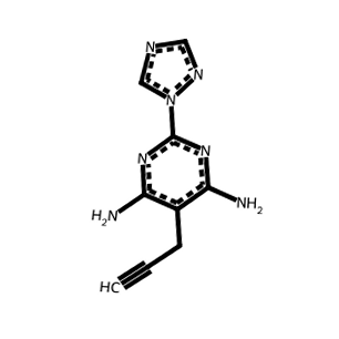 C#CCc1c(N)nc(-n2cncn2)nc1N